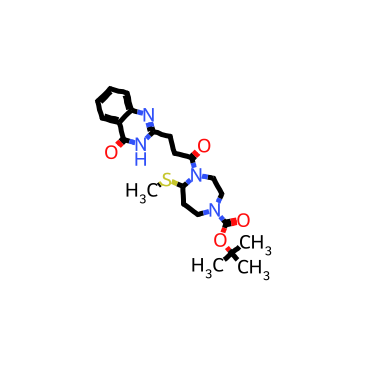 CSC1CCN(C(=O)OC(C)(C)C)CCN1C(=O)CCc1nc2ccccc2c(=O)[nH]1